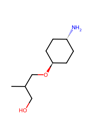 CC(CO)CO[C@H]1CC[C@H](N)CC1